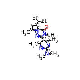 CCC(CC)c1cc(C)n2nc(-c3c(C)nc(N(C)C)nc3C)n(C)c(=O)c12